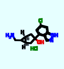 Cl.NCC1[C@H]2CC(O)(c3cc(Cl)cc4[nH]ncc34)C[C@@H]12